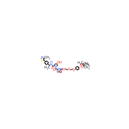 Cc1ncsc1-c1ccc([C@H](C)NC(=O)C2C[C@H](O)CN2C(=O)[C@@H](NC(=O)COCCOCCOc2ccc(B3OC(C)(C)C(C)(C)O3)cc2)C(C)(C)C)cc1